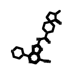 COc1cnc(N2CCOCC2)c2sc(NC(=O)N3CCC4(CCN(C)C4=O)CC3)nc12